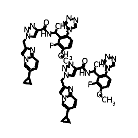 COc1ccc(-n2cnnn2)c(C(C)NC(=O)c2cn(Cc3cn4cc(C5CC5)ccc4n3)nn2)c1F.COc1ccc(-n2cnnn2)c(C(C)NC(=O)c2cn(Cc3cn4cc(C5CC5)ccc4n3)nn2)c1F